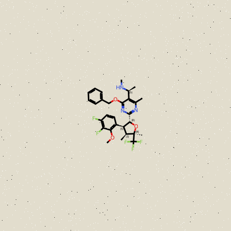 CN[C@@H](C)c1c(C)nc([C@@H]2O[C@@](C)(C(F)(F)F)[C@@H](C)[C@H]2c2ccc(F)c(F)c2OC)nc1OCc1ccccc1